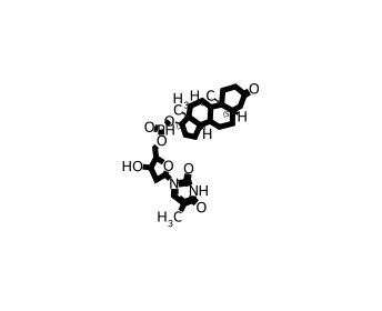 Cc1cn(C2CC(O)C(CO[PH](=O)O[C@H]3CC[C@H]4C5CC[C@H]6CC(=O)CC[C@]6(C)C5CC[C@]34C)O2)c(=O)[nH]c1=O